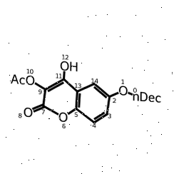 CCCCCCCCCCOc1ccc2oc(=O)c(OC(C)=O)c(O)c2c1